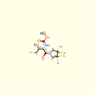 CC[C@H](CF)[C@H](NC(=O)OC(C)(C)C)C(=O)N1CC(F)(F)C(F)(F)C1